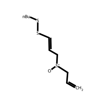 C=CC[S+]([O-])C/C=C/SSCCCC